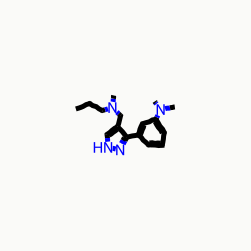 CCCN(C)Cc1c[nH]nc1-c1cccc(N(C)C)c1